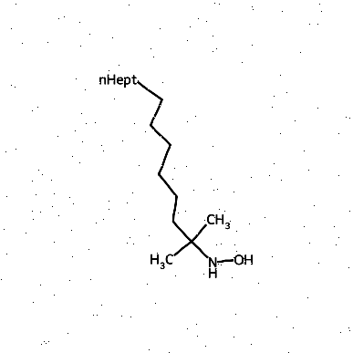 CCCCCCCCCCCCCC(C)(C)NO